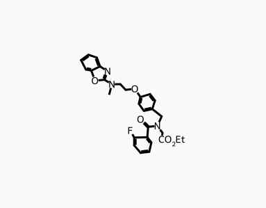 CCOC(=O)CN(Cc1ccc(OCCN(C)c2nc3ccccc3o2)cc1)C(=O)c1ccccc1F